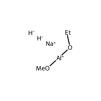 CC[O][Al+][O]C.[H-].[H-].[Na+]